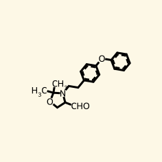 CC1(C)OCC(C=O)N1CCc1ccc(Oc2ccccc2)cc1